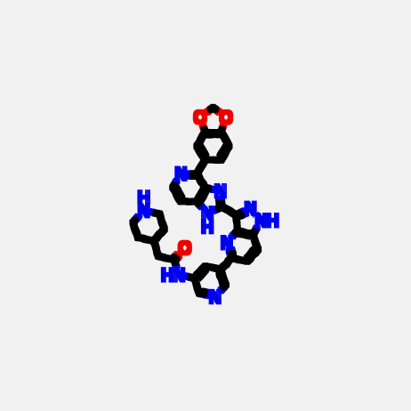 O=C(CC1CCNCC1)Nc1cncc(-c2ccc3[nH]nc(-c4nc5c(-c6ccc7c(c6)OCO7)nccc5[nH]4)c3n2)c1